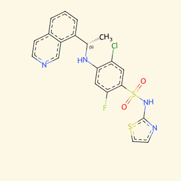 C[C@H](Nc1cc(F)c(S(=O)(=O)Nc2nccs2)cc1Cl)c1cccc2ccncc12